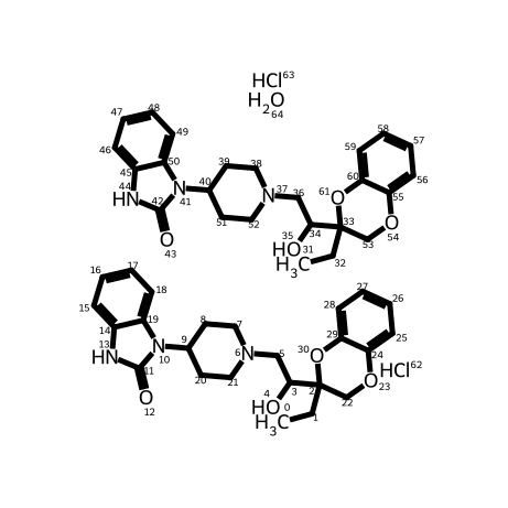 CCC1(C(O)CN2CCC(n3c(=O)[nH]c4ccccc43)CC2)COc2ccccc2O1.CCC1(C(O)CN2CCC(n3c(=O)[nH]c4ccccc43)CC2)COc2ccccc2O1.Cl.Cl.O